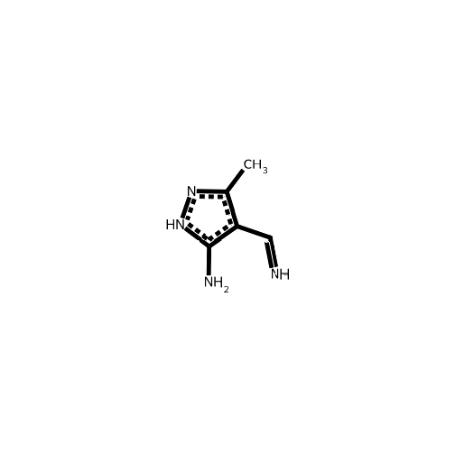 Cc1n[nH]c(N)c1C=N